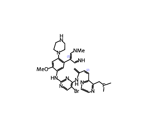 C=C(/C=C\c1nccnc1CP(C)C)Nc1nc(Nc2cc(/C(C=N)=C/NC)c(N3CCNCC3)cc2OC)ncc1Br